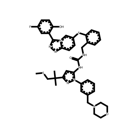 CSCC(C)(C)c1cc(NC(=O)NCc2ccccc2Sc2ccc3nnc(-c4cc(F)ccc4O)n3c2)n(-c2cccc(CN3CCOCC3)c2)n1